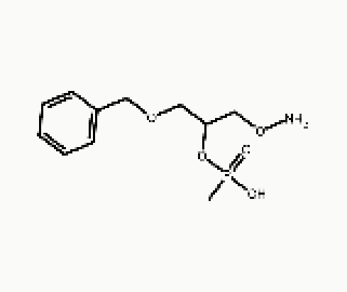 CP(=O)(O)OC(CON)COCc1ccccc1